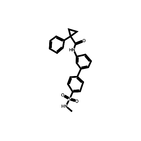 CNS(=O)(=O)c1ccc(-c2cccc(NC(=O)C3(c4ccccc4)CC3)c2)cc1